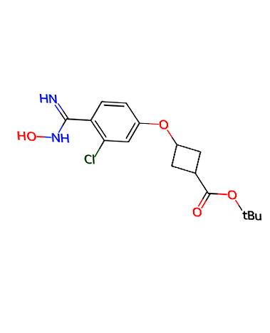 CC(C)(C)OC(=O)C1CC(Oc2ccc(C(=N)NO)c(Cl)c2)C1